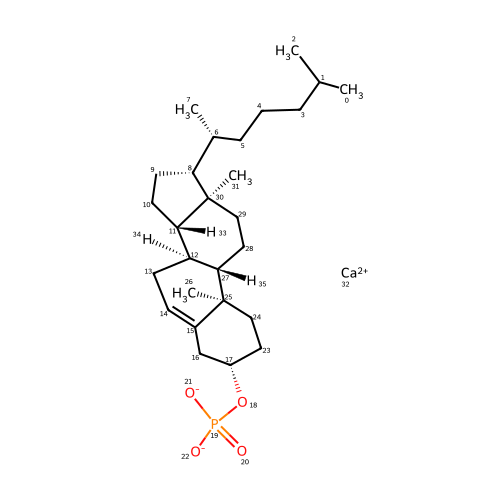 CC(C)CCC[C@@H](C)[C@H]1CC[C@H]2[C@@H]3CC=C4C[C@@H](OP(=O)([O-])[O-])CC[C@]4(C)[C@H]3CC[C@]12C.[Ca+2]